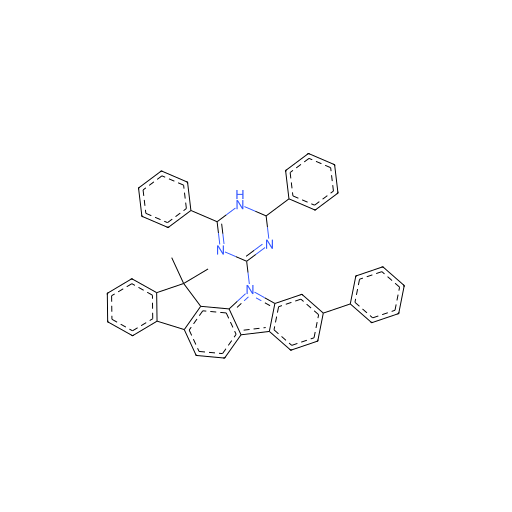 CC1(C)c2ccccc2-c2ccc3c4ccc(-c5ccccc5)cc4n(C4=NC(c5ccccc5)NC(c5ccccc5)=N4)c3c21